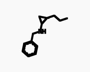 CCC[C]1CC1NCc1ccccc1